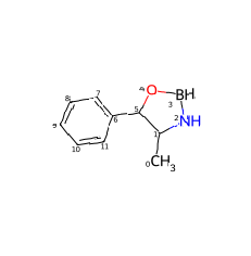 CC1NBOC1c1ccccc1